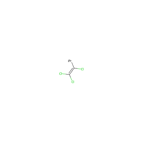 CC(C)C(Cl)=C(Cl)Cl